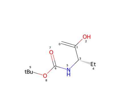 C=C(O)[C@H](CC)NC(=O)OC(C)(C)C